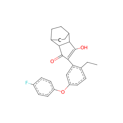 CCc1ccc(Oc2ccc(F)cc2)cc1C1=C(O)C2C3CCC(CC3)C2C1=O